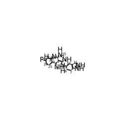 N=C(C1=C(Nc2ccc3c(c2)CNN3)NCNC1N)c1ccc(F)cc1